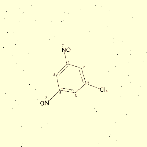 O=Nc1cc(Cl)cc(N=O)c1